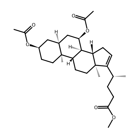 COC(=O)CC[C@@H](C)C1=CC[C@H]2[C@@H]3[C@H](OC(C)=O)C[C@@H]4C[C@H](OC(C)=O)CC[C@]4(C)[C@H]3CC[C@]12C